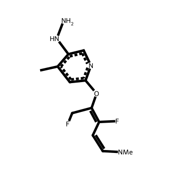 CN/C=C\C(F)=C(/CF)Oc1cc(C)c(NN)cn1